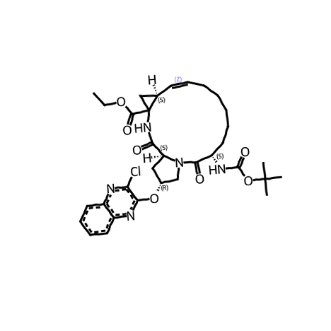 CCOC(=O)C12C[C@H]1/C=C\CCCCC[C@H](NC(=O)OC(C)(C)C)C(=O)N1C[C@H](Oc3nc4ccccc4nc3Cl)C[C@H]1C(=O)N2